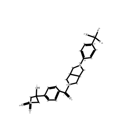 O=C(c1ccc(C2(O)CS(=O)(=O)C2)cc1)N1CC2CN(c3ccc(C(F)(F)F)cc3)CC2C1